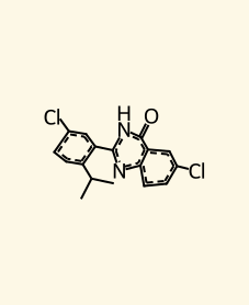 CC(C)c1ccc(Cl)cc1-c1nc2ccc(Cl)cc2c(=O)[nH]1